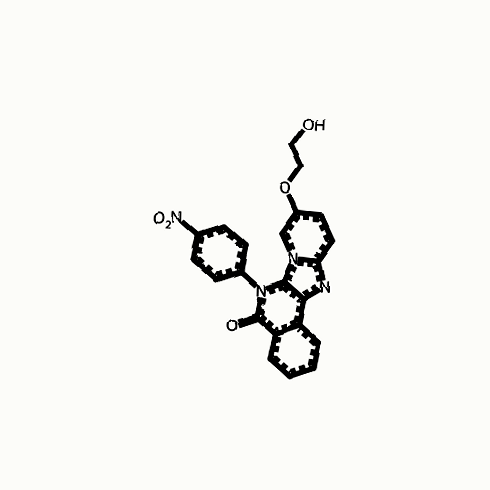 O=c1c2ccccc2c2nc3ccc(OCCO)cn3c2n1-c1ccc([N+](=O)[O-])cc1